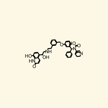 O=C(O)N(C1CN2CCC1CC2)[C@@H](c1ccccc1)c1cccc(OCc2cccc(CCNCC(O)c3ccc(O)c4[nH]c(=O)ccc34)c2)c1